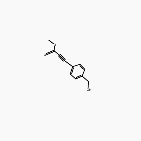 COC(=O)C#Cc1ccc(CO)cc1